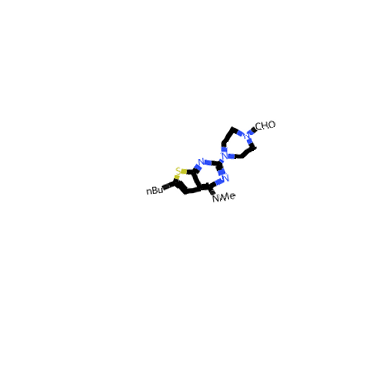 CCCCc1cc2c(NC)nc(N3CCN(C=O)CC3)nc2s1